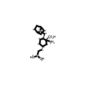 N[C@]1(C(=O)O)C[C@H](CCB(O)O)CC[C@H]1CN1C2CCC1CC2